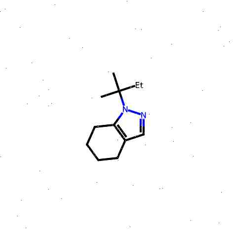 CCC(C)(C)n1ncc2c1CCCC2